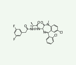 C[C@H](NC(=O)Cc1cc(F)cc(F)c1)C(=O)NC1N=C(c2ccccc2Cl)c2cc(Cl)ccc2N(C)C1=O